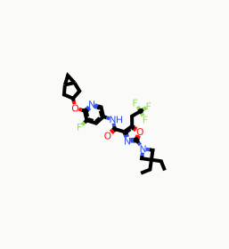 CCC1(CC)CN(c2nc(C(=O)Nc3cnc(OC4CC5CC5C4)c(F)c3)c(CC(F)(F)F)o2)C1